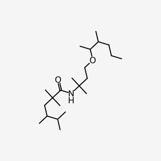 CCCC(C)C(C)OCCC(C)(C)NC(=O)C(C)(C)CC(C)C(C)C